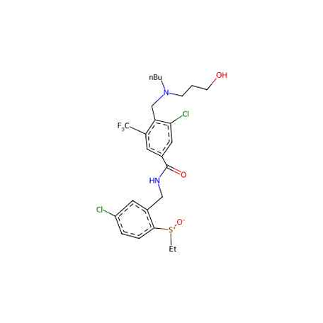 CCCCN(CCCO)Cc1c(Cl)cc(C(=O)NCc2cc(Cl)ccc2[S+]([O-])CC)cc1C(F)(F)F